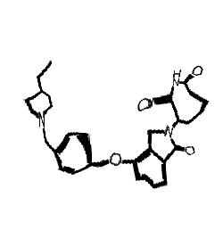 CCC1CCN(Cc2ccc(COc3cccc4c3CN(C3CCC(=O)NC3=O)C4=O)cc2)CC1